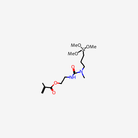 C=C(C)C(=O)OCCNC(=O)N(C)CCC[Si](OC)(OC)OC